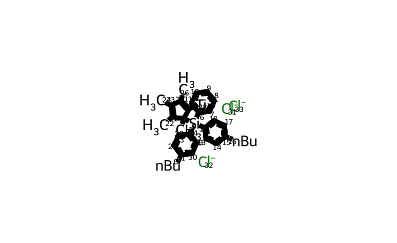 CCCCc1ccc([Si](c2ccccc2)(c2ccc(CCCC)cc2)C2(C)C(C)=C(C)C(C)=[C]2[Ti+3])cc1.[Cl-].[Cl-].[Cl-]